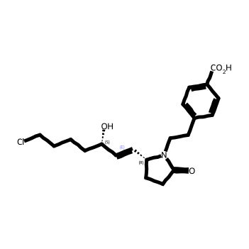 O=C(O)c1ccc(CCN2C(=O)CC[C@@H]2/C=C/[C@@H](O)CCCCCl)cc1